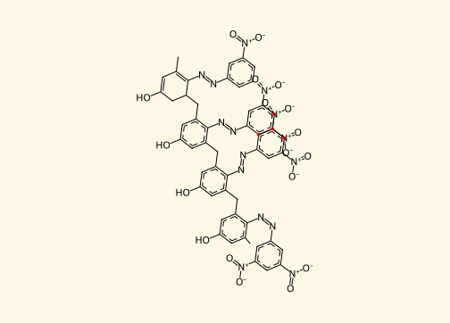 CC1=C(N=Nc2cccc([N+](=O)[O-])c2)C(Cc2cc(O)cc(Cc3cc(O)cc(Cc4cc(O)cc(C)c4N=Nc4cc([N+](=O)[O-])cc([N+](=O)[O-])c4)c3N=Nc3cc([N+](=O)[O-])cc([N+](=O)[O-])c3)c2N=Nc2cc([N+](=O)[O-])cc([N+](=O)[O-])c2)CC(O)=C1